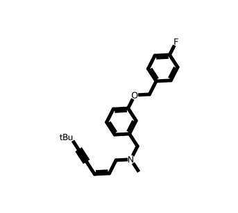 CN(C/C=C\C#CC(C)(C)C)Cc1cccc(OCc2ccc(F)cc2)c1